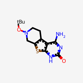 CC(C)(C)ON1CCc2c(sc3[nH]c(=O)nc(N)c23)C1